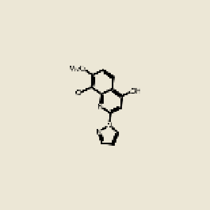 COc1ccc2c(O)cc(-n3cccn3)nc2c1Cl